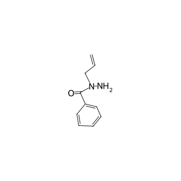 C=CCN(N)C(=O)c1ccccc1